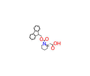 O=C(O)C[C@@H]1CCCCN1C(=O)OCC1c2ccccc2-c2ccccc21